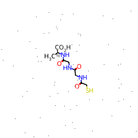 C[C@H](NC(=O)CNC(=O)CNC(=O)CS)C(=O)O